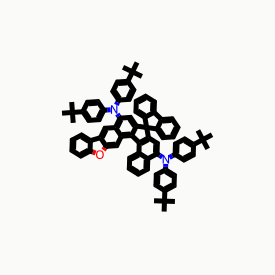 CC(C)(C)c1ccc(N(c2ccc(C(C)(C)C)cc2)c2cc3c(c4ccccc24)-c2c(cc(N(c4ccc(C(C)(C)C)cc4)c4ccc(C(C)(C)C)cc4)c4cc5c(cc24)oc2ccccc25)C32c3ccccc3-c3ccccc32)cc1